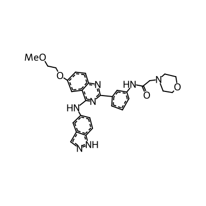 COCCOc1ccc2nc(-c3cccc(NC(=O)CN4CCOCC4)c3)nc(Nc3ccc4[nH]ncc4c3)c2c1